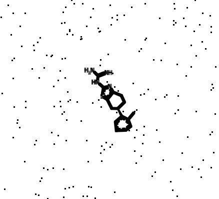 Cc1ccccc1[C@@H]1CCc2nc(NC(=N)N)sc2C1